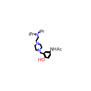 CC(=O)Nc1ccc(O)c(CN2CCN(CCN(C(C)C)C(C)C)CC2)c1